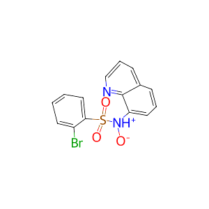 O=S(=O)(c1ccccc1Br)[NH+]([O-])c1cccc2cccnc12